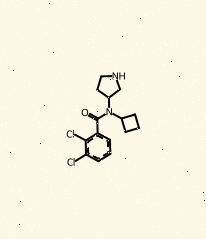 O=C(c1cccc(Cl)c1Cl)N(C1CCC1)C1CCNC1